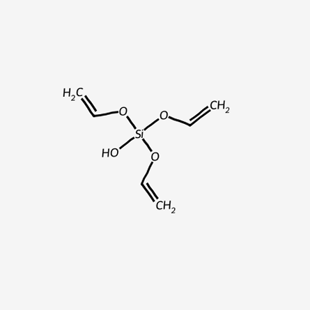 C=CO[Si](O)(OC=C)OC=C